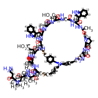 CC1NC(=O)[C@H](Cc2c[nH]c3ccccc23)NC(=O)CNC(=O)[C@H](CC(=O)O)NC(=O)[C@H](C(C)C)NC(=O)[C@H](Cc2c[nH]c3ccccc23)NC(=O)[C@@H]2CSCc3ccc(cc3)N(c3ccc(cc3)CSC[C@@H](C(N)=O)NC(=O)[C@@H]3CCCN3CO1)c1ccc(cc1)CSC[C@H](NC(=O)[C@H](C)NC(C)(C)C(=O)CN(C)C(C)(C)C(=O)CCN)C(=O)N[C@@H]([C@@H](C)O)C(=O)N[C@@H](CCC(=O)O)C(=O)N2